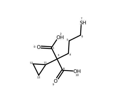 O=C(O)C(CCCS)(C(=O)O)C1CC1